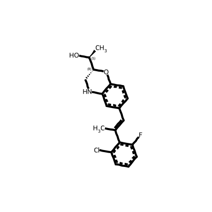 CC(=Cc1ccc2c(c1)NC[C@H]([C@H](C)O)O2)c1c(F)cccc1Cl